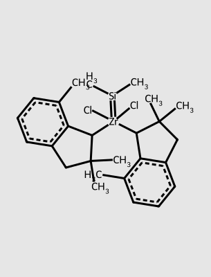 Cc1cccc2c1[CH]([Zr]([Cl])([Cl])([CH]1c3c(C)cccc3CC1(C)C)=[Si](C)C)C(C)(C)C2